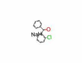 O=C(c1ccccc1)c1ccccc1Cl.[NaH]